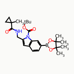 CC(C)(C)OC(=O)n1c(CNC(=O)C2(C)CC2)cc2ccc(B3OC(C)(C)C(C)(C)O3)cc21